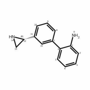 Nc1ccccc1-c1cccc([C@@H]2CN2)c1